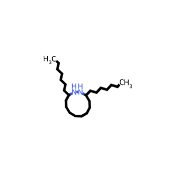 CCCCCCCC1CCCCCCCCC(CCCCCCC)NN1